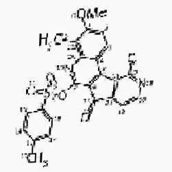 COc1ccc2c3c(c(OS(=O)(=O)c4ccc(C)cc4)nc2c1C)C(=O)c1ccnc(Cl)c1-3